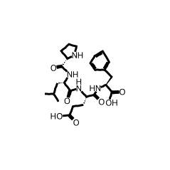 CC(C)C[C@H](NC(=O)[C@@H]1CCCN1)C(=O)N[C@@H](CCC(=O)O)C(=O)N[C@@H](Cc1ccccc1)C(=O)O